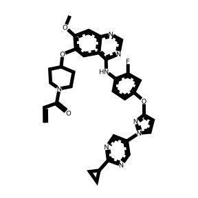 C=CC(=O)N1CCC(Oc2cc3c(Nc4ccc(Oc5ccn(-c6cnc(C7CC7)nc6)n5)cc4F)ncnc3cc2OC)CC1